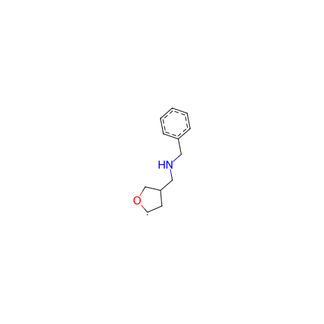 [CH]1CC(CNCc2ccccc2)CO1